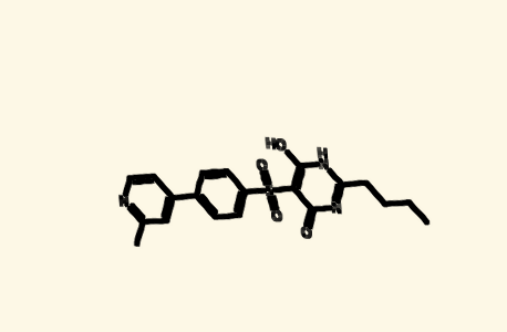 CCCCc1nc(=O)c(S(=O)(=O)c2ccc(-c3ccnc(C)c3)cc2)c(O)[nH]1